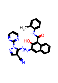 Cc1ccccc1NC(=O)c1c(O)c(/N=N/c2c(C#N)cnn2-c2ncccn2)cc2ccccc12